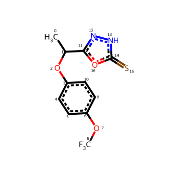 CC(Oc1ccc(OC(F)(F)F)cc1)c1n[nH]c(=S)o1